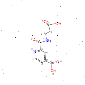 O=C(O)CCNC(=O)c1cc(C(=O)O)ccn1